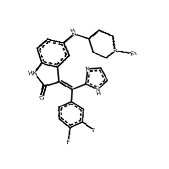 CCN1CCC(Nc2ccc3c(c2)C(=C(c2ccc(F)c(F)c2)c2ncc[nH]2)C(=O)N3)CC1